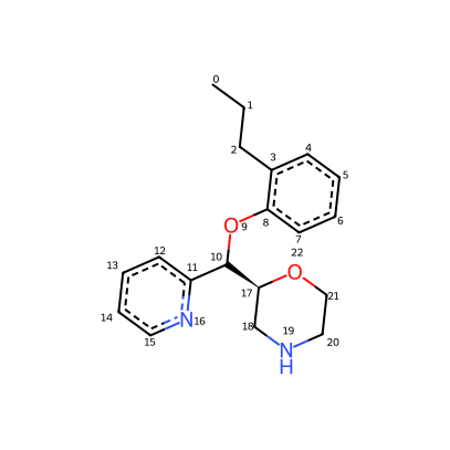 CCCc1ccccc1OC(c1ccccn1)[C@@H]1CNCCO1